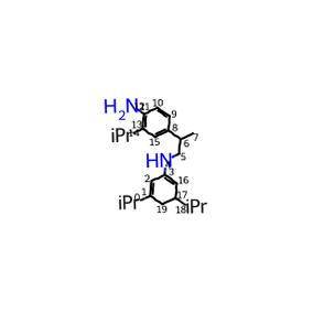 CC(C)C1=CC(NCC(C)c2ccc(N)c(C(C)C)c2)=CC(C(C)C)C1